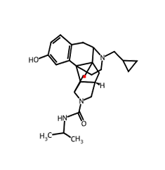 CC(C)NC(=O)N1C[C@H]2CC34CCC1C2C31CCN(CC2CC2)C4Cc2ccc(O)cc21